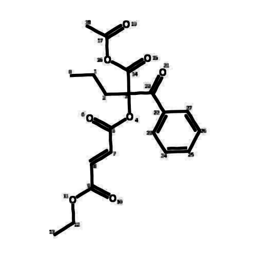 CCCC(OC(=O)C=CC(=O)OCC)(C(=O)OC(C)=O)C(=O)c1ccccc1